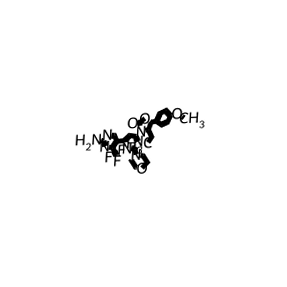 CCC1C(c2ccc(OC)cc2)OC(=O)N1c1cc(-c2cnc(N)nc2C(F)(F)F)nc(N2CCOCC2)n1